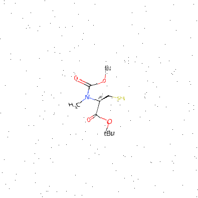 CN(C(=O)OC(C)(C)C)[C@@H](CS)C(=O)OC(C)(C)C